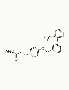 COC(=O)CCc1ccc(OCc2cccc(-c3ccccc3C)c2)cc1